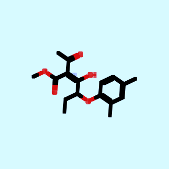 CCC(Oc1ccc(C)cc1C)/C(O)=C(/C(C)=O)C(=O)OC